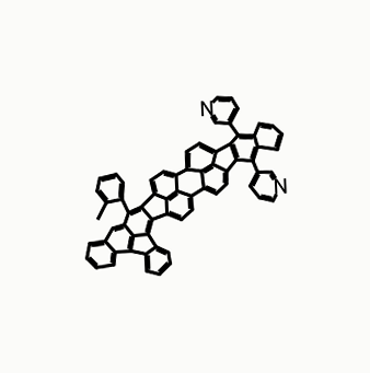 Cc1ccccc1-c1c2cc3ccccc3c3c4ccccc4c(c4c5ccc6c7ccc8c9c(ccc(c%10ccc(c14)c5c%106)c97)-c1c-8c(-c4cccnc4)c4ccccc4c1-c1cccnc1)c23